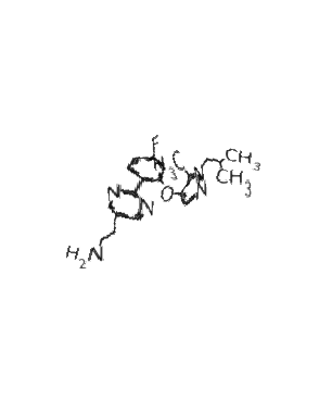 Cc1c(Oc2cc(F)ccc2-c2ncc(CCN)cn2)cnn1CC(C)C